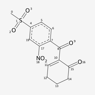 CS(=O)(=O)c1ccc(C(=O)C2=[C]CCCC2=O)c([N+](=O)[O-])c1